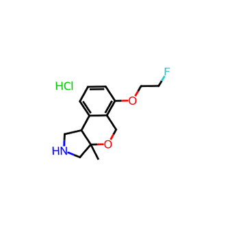 CC12CNCC1c1cccc(OCCF)c1CO2.Cl